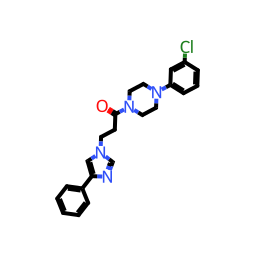 O=C(CCn1cnc(-c2ccccc2)c1)N1CCN(c2cccc(Cl)c2)CC1